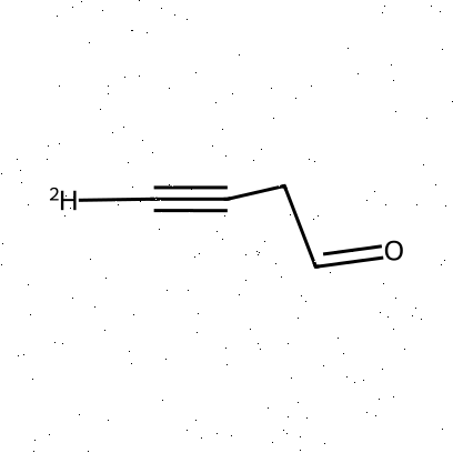 [2H]C#CCC=O